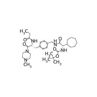 CCC(=O)N[C@H](Cc1ccc(CNC(=O)[C@@H](NC(=O)OC(C)(C)C)C2CCCCCC2)cc1)C(=O)N1CCN(C)CC1